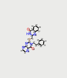 O=c1[nH]c(CSc2nc3nccnc3c(=O)n2CCc2ccccc2)nc2ccccc12